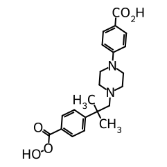 CC(C)(CN1CCN(c2ccc(C(=O)O)cc2)CC1)c1ccc(C(=O)OO)cc1